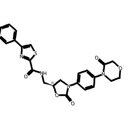 O=C(NC[C@H]1CN(c2ccc(N3CCOCC3=O)cc2)C(=O)O1)c1nc(-c2ccccc2)cs1